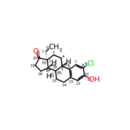 CC[C@]12CC[C@@H]3c4cc(Cl)c(O)cc4CC[C@H]3[C@@H]1CCC2=O